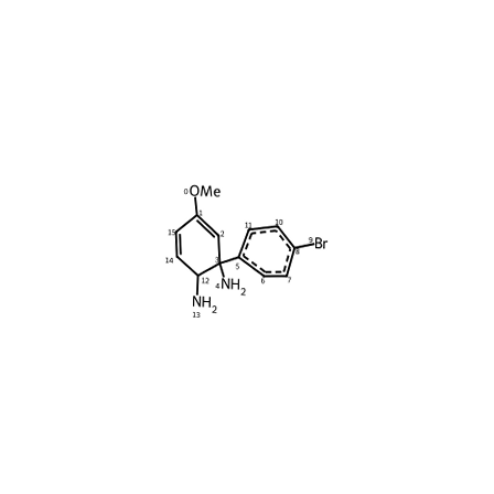 COC1=CC(N)(c2ccc(Br)cc2)C(N)C=C1